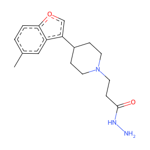 Cc1ccc2occ(C3CCN(CCC(=O)NN)CC3)c2c1